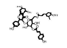 Cc1cc(/C=C/C(=O)OCC2O[C@@H](Oc3c(-c4ccc(O)cc4)oc4cc(O)cc(O)c4c3=O)C(O)C(OC(=O)/C=C/c3ccc(O)cc3)[C@@H]2O)ccc1O